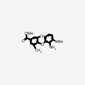 CNc1cccc(Oc2c(C)cc(C(=O)OC)cc2C)c1N